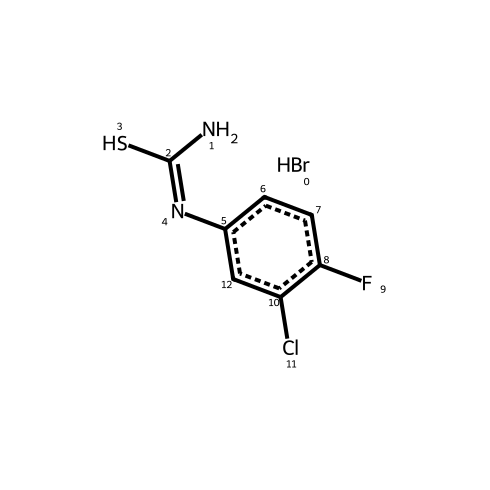 Br.N/C(S)=N\c1ccc(F)c(Cl)c1